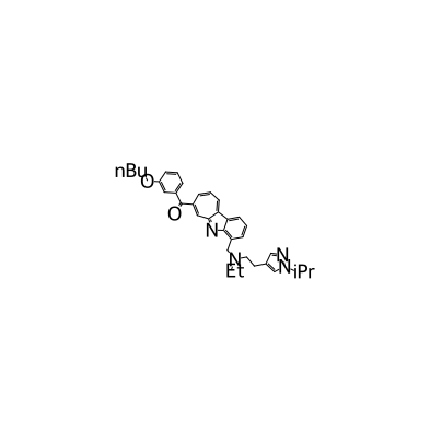 CCCCOc1cccc(C(=O)c2cccc3c4cccc(CN(CC)CCc5cnn(C(C)C)c5)c4nc-3c2)c1